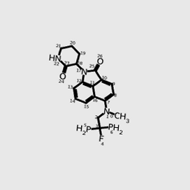 CN(CC(F)(P)P)c1ccc2c3c(cccc13)N(C1CCCNC1=O)C2=O